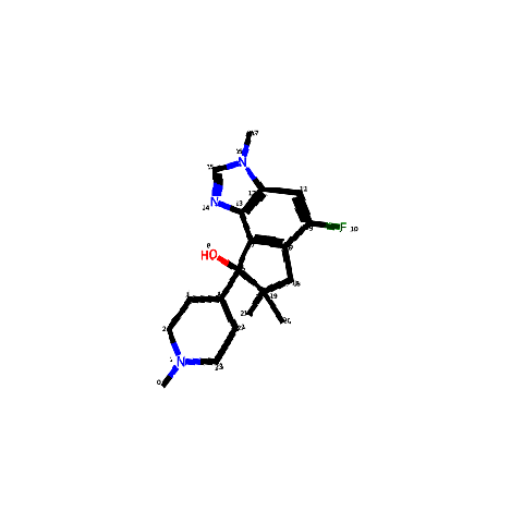 CN1CCC(C2(O)c3c(c(F)cc4c3ncn4C)CC2(C)C)CC1